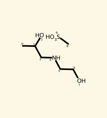 CC(O)CNCCO.CS(=O)(=O)O